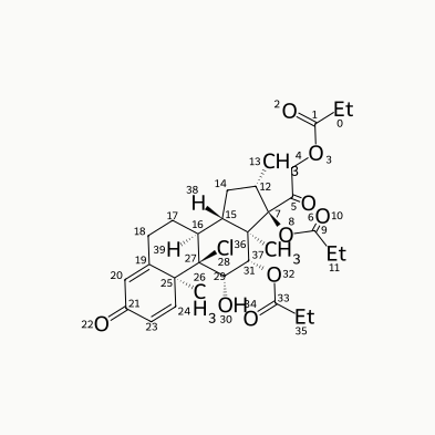 CCC(=O)OCC(=O)[C@@]1(OC(=O)CC)[C@@H](C)C[C@H]2[C@@H]3CCC4=CC(=O)C=C[C@]4(C)[C@@]3(Cl)[C@@H](O)[C@@H](OC(=O)CC)[C@@]21C